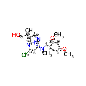 COc1ccc(CN(C)c2cc(Cl)nc3c(C(C)CO)cnn23)c(OC)c1